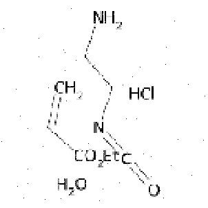 C=CC(=O)OCC.Cl.NCCN=C=O.O